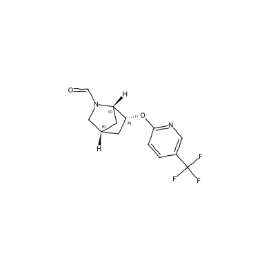 O=CN1C[C@H]2C[C@@H](Oc3ccc(C(F)(F)F)cn3)[C@@H]1C2